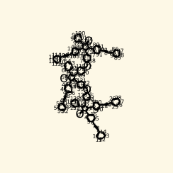 O=C1C(c2ccc(C#Cc3ccccc3)cc2)=C(c2ccc(C#Cc3ccccc3)cc2)C(c2ccc(Oc3ccc(C4=C(c5ccc(C#Cc6ccccc6)cc5)C(=O)C(c5ccccc5)=C4c4ccc(Oc5ccc(C6=C(c7ccc(C#Cc8ccccc8)cc7)C(=O)C(c7ccccc7)=C6c6ccc(C#Cc7ccccc7)cc6)cc5)cc4)cc3)cc2)=C1c1ccccc1